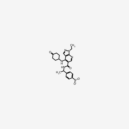 CCn1ncc2c(NC3CCC(=O)CC3)c(C(=O)NC(C)c3ccc([N+](=O)[O-])cc3)cnc21